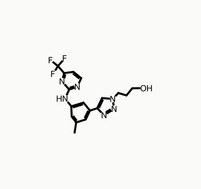 Cc1cc(Nc2nccc(C(F)(F)F)n2)cc(-c2cn(CCCO)nn2)c1